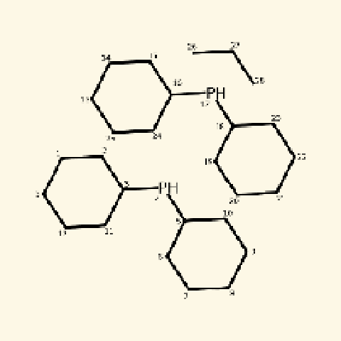 C1CCC(PC2CCCCC2)CC1.C1CCC(PC2CCCCC2)CC1.CCC